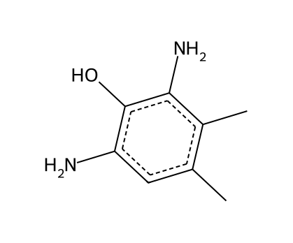 Cc1cc(N)c(O)c(N)c1C